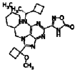 COC1(c2nc3nc(-c4noc(=O)[nH]4)nc(N[C@H](C)C4CCC4)c3n2CC2CCC(C)CC2)CCC1